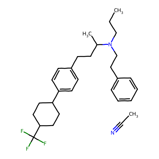 CC#N.CCCN(CCc1ccccc1)C(C)CCc1ccc(C2CCC(C(F)(F)F)CC2)cc1